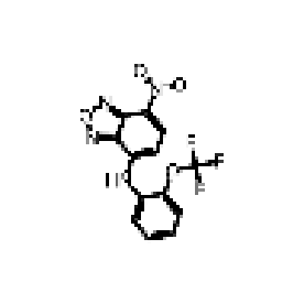 O=[N+]([O-])c1ccc(Nc2ccccc2OC(F)(F)F)c2nonc12